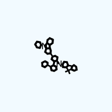 CC1(C)c2ccccc2-c2ccc(-n3c4ccc(-c5ccc6c(c5)c5ccccc5n6-c5ccccc5)cc4c4c(-c5ccccc5)cccc43)cc21